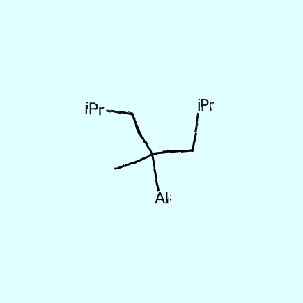 CC(C)C[C](C)([Al])CC(C)C